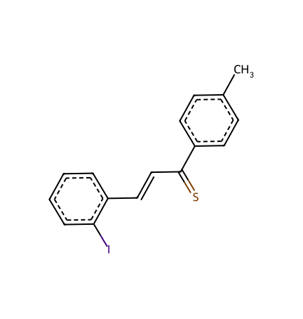 Cc1ccc(C(=S)C=Cc2ccccc2I)cc1